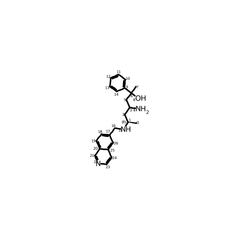 C[C@H](CC(N)CC(C)(O)c1ccccc1)NCc1ccc2cnccc2c1